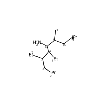 CCC(CC(C)C)C(CC)C(N)C(C)CC(C)C